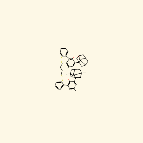 Cc1cc(-c2ccccc2SCCCCSc2ccccc2-c2cc(C)cc(C34CC5C[C@H](C3)C[C@@H](C5)C4)c2O)c(O)c(C23CC4CC(CC(C4)C2)C3)c1